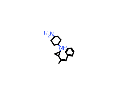 CC(=Cc1ccccc1)C1CC1NC1CCC(N)CC1